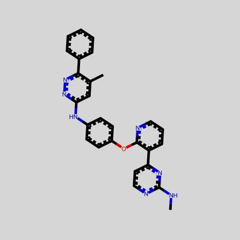 CNc1nccc(-c2cccnc2Oc2ccc(Nc3cc(C)c(-c4ccccc4)nn3)cc2)n1